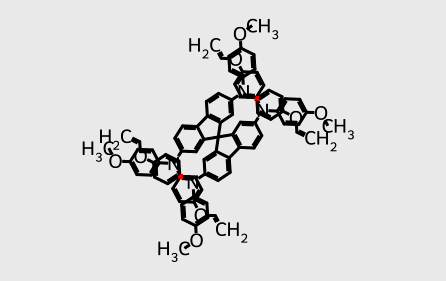 C=COc1ccc(N(c2ccc(OC)cc2)c2ccc3c(c2)C2(c4cc(N(c5ccc(OC)cc5)c5ccc(OC=C)cc5)ccc4-3)c3cc(N(c4ccc(OC)cc4)c4ccc(OC=C)cc4)ccc3-c3ccc(N(c4ccc(OC)cc4)c4ccc(OC=C)cc4)cc32)cc1